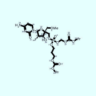 COC[C@]1(COP(=O)(OCCCOC(=O)OC(C)C)OCOC(=O)OC(C)C)O[C@@H](n2ccc(N)nc2=O)[C@H](F)[C@@H]1O